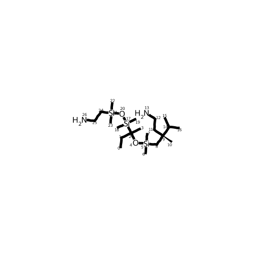 CCC(C)(O[Si](C)(C)C[C@](C)(CCN)C(C)C)[Si](C)(C)O[Si](C)(C)CCN